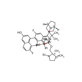 CCN1CC[C@H](C)[C@]1(C)COc1nc(N2C[C@H]3CC[C@@H](C2)N3CC(C)(C)C(=O)O)c2cc(F)c(-c3cc(O)cc4ccc(F)c(C#C[Si](C(C)C)(C(C)C)C(C)C)c34)c(F)c2n1